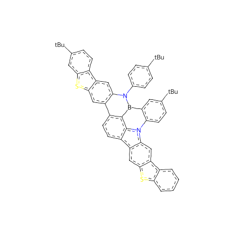 CC(C)(C)c1ccc(N2B3c4cc(C(C)(C)C)ccc4-n4c5cc6c(cc5c5ccc(c3c54)-c3cc4sc5cc(C(C)(C)C)ccc5c4cc32)sc2ccccc26)cc1